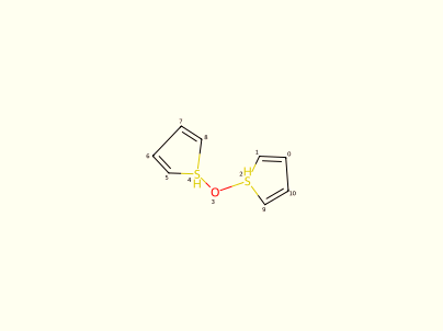 C1=C[SH](O[SH]2C=CC=C2)C=C1